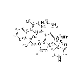 Cc1cc(-c2ncc(Cl)c(-c3ccccc3S(=O)(=O)C(C)C)n2)c2c(c1C1(S(=O)(=O)C(C)C)CCNCC1)CC(C)O2.NN